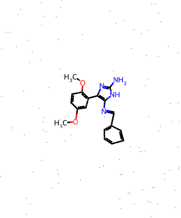 COc1ccc(OC)c(-c2nc(N)[nH]c2N=Cc2ccccc2)c1